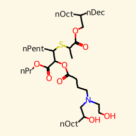 CCCCCCCCCCC(CCCCCCCC)COC(=O)C(C)SC(CCCCC)C(OC(=O)CCCN(CCO)CC(O)CCCCCCCC)C(=O)OCCC